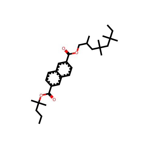 CCCC(C)(C)OC(=O)c1ccc2cc(C(=O)OCC(C)CC(C)(C)CC(C)(C)CC)ccc2c1